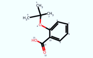 CC(C)(C)Oc1ccccc1C(=O)O